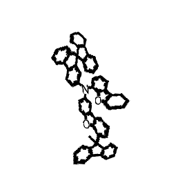 CC1(c2cccc3c2oc2ccc(N(c4ccc5c(c4)C4(C6=C(CCC=C6)c6ccccc64)c4ccccc4-5)c4cccc5c6c(oc45)C=CCC6)cc23)c2ccccc2-c2ccccc21